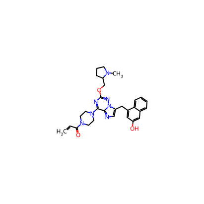 C=CC(=O)N1CCN(c2nc(OCC3CCCN3C)nn3c(Cc4cc(O)cc5ccccc45)cnc23)CC1